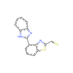 S=Cc1nc2c(-c3nc4ccccc4[nH]3)cccc2s1